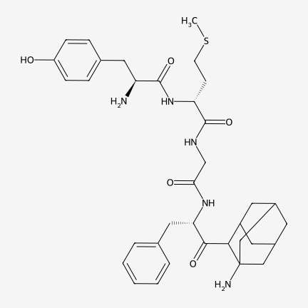 CSCC[C@@H](NC(=O)[C@@H](N)Cc1ccc(O)cc1)C(=O)NCC(=O)N[C@@H](Cc1ccccc1)C(=O)C1C2CC3CC(C2)CC1(N)C3